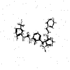 Cn1nc(-c2cccc(NC(=O)Nc3cc(C(F)(F)F)ccc3F)c2F)c2c(NCCN3CCOCC3)ncnc21